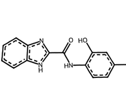 O=C(Nc1ccc(Cl)cc1O)c1nc2ccccc2[nH]1